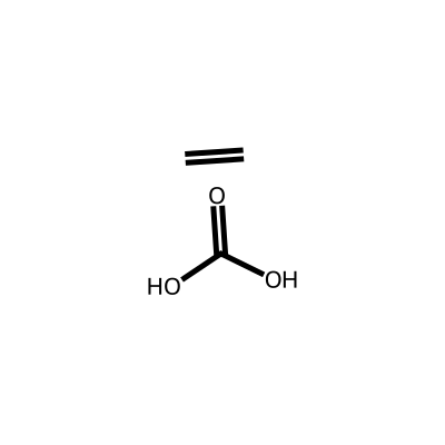 C=C.O=C(O)O